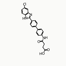 O=C(O)CCC(=O)Nc1ccc(-c2ccc(-c3nc4cc(Cl)ccc4[nH]3)cc2)cc1